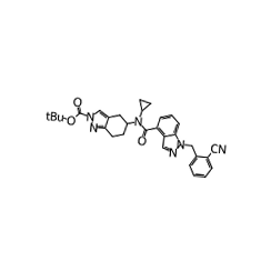 CC(C)(C)OC(=O)n1cc2c(n1)CCC(N(C(=O)c1cccc3c1cnn3Cc1ccccc1C#N)C1CC1)C2